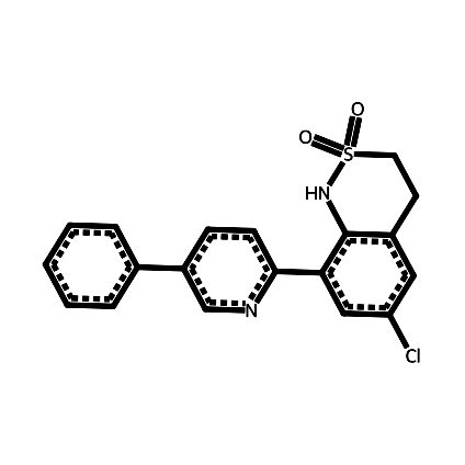 O=S1(=O)CCc2cc(Cl)cc(-c3ccc(-c4ccccc4)cn3)c2N1